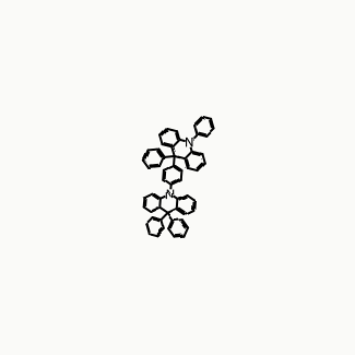 c1ccc(N2c3ccccc3C(c3ccccc3)(c3ccc(N4c5ccccc5C(c5ccccc5)(c5ccccc5)c5ccccc54)cc3)c3ccccc32)cc1